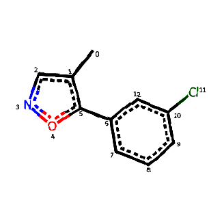 Cc1cnoc1-c1cccc(Cl)c1